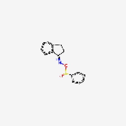 O=S(O/N=C1\CCc2ccccc21)c1ccccc1